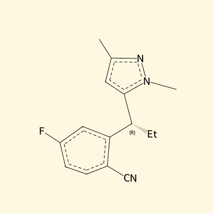 CC[C@H](c1cc(F)ccc1C#N)c1cc(C)nn1C